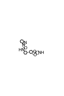 O=C(Cn1cnc2ccccc21)Nc1cccc(-c2ccc3c(c2)COC2(CCNCC2)O3)c1